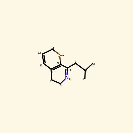 CC(C)CC1=NCCC2=C1SCC=C2